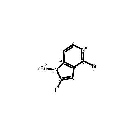 CCCCn1c(F)cc2c(Br)nccc21